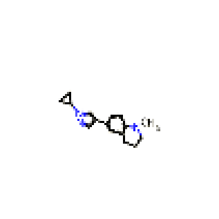 CN1CCCc2cc(-c3cnn(C4CC4)c3)ccc21